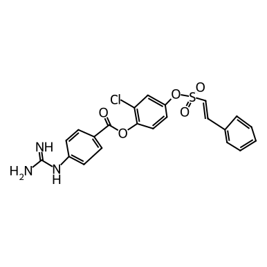 N=C(N)Nc1ccc(C(=O)Oc2ccc(OS(=O)(=O)C=Cc3ccccc3)cc2Cl)cc1